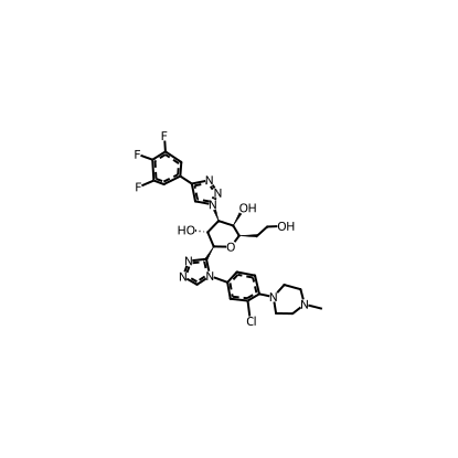 CN1CCN(c2ccc(-n3cnnc3[C@@H]3O[C@H](CCO)[C@H](O)[C@H](n4cc(-c5cc(F)c(F)c(F)c5)nn4)[C@H]3O)cc2Cl)CC1